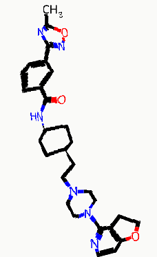 Cc1nc(-c2cccc(C(=O)N[C@H]3CC[C@H](CCN4CCN(c5nccc6c5CCO6)CC4)CC3)c2)no1